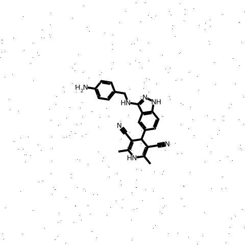 CC1=C(C#N)C(c2ccc3[nH]nc(NCc4ccc(N)cc4)c3c2)C(C#N)=C(C)N1